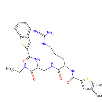 N=C(N)NCCCC(NC(=O)c1cc2ccccc2s1)C(=O)NCC(NC(=O)c1cc2ccccc2s1)C(=O)NCC(=O)O